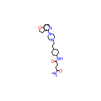 CN(C)C(=O)CCC(=O)NC1CCC(CCN2CCN(c3nccc4c3CCO4)CC2)CC1